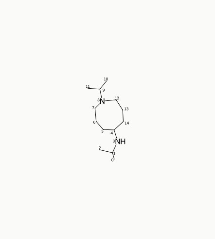 CC(C)NC1CCCN(C(C)C)CCC1